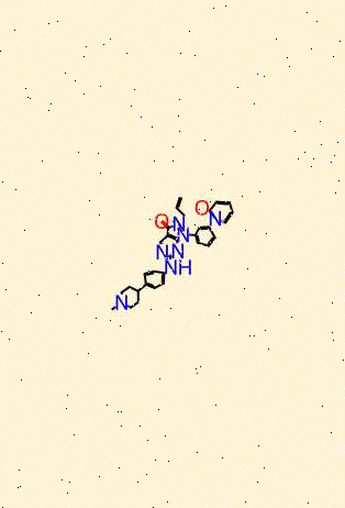 C=CCn1c(=O)c2cnc(Nc3ccc(C4CCN(C)CC4)cc3)nc2n1-c1cccc(-n2ccccc2=O)c1